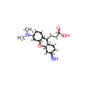 CN(C)c1ccc2c(CCC(=O)O)c3ccc(=N)cc-3oc2c1